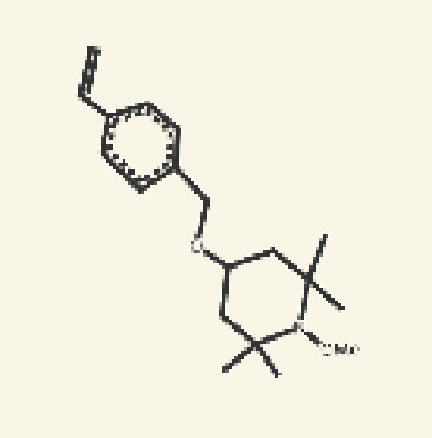 C=Cc1ccc(COC2CC(C)(C)N(OC)C(C)(C)C2)cc1